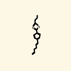 C=CCCC=Cc1ccc(-c2ncc(CCC)cn2)cc1